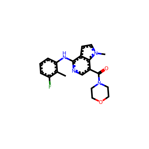 Cc1c(F)cccc1Nc1ncc(C(=O)N2CCOCC2)c2c1ccn2C